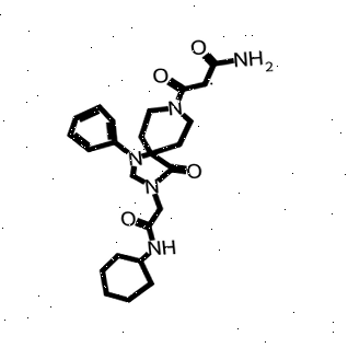 NC(=O)[CH]C(=O)N1CCC2(CC1)C(=O)N(CC(=O)NC1CCCCC1)CN2c1ccccc1